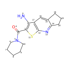 Nc1c(C(=O)N2CCCCC2)sc2nc3c(cc12)CCC3